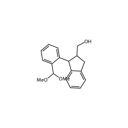 COC(OC)c1ccccc1C1c2ccccc2CC1CO